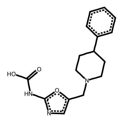 O=C(O)Nc1ncc(CN2CCC(c3ccccc3)CC2)o1